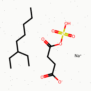 CCCCCC(CC)CC.O=C([O-])CCC(=O)OS(=O)(=O)O.[Na+]